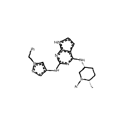 CC(=O)N1C[C@H](Nc2nc(Nc3cnn(CC(C)C)c3)nc3[nH]ccc23)CC[C@@H]1C